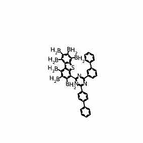 Bc1c(B)c(B)c2c(sc3c(-c4nc(-c5ccc(-c6ccccc6)cc5)nc(-c5cccc(-c6ccccc6)c5)n4)c(B)c(B)c(B)c32)c1B